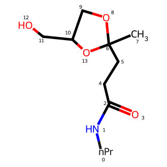 CCCNC(=O)CCC1(C)OCC(CO)O1